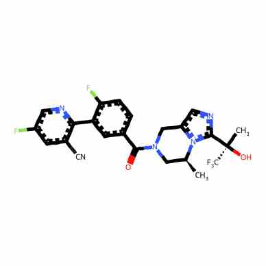 C[C@H]1CN(C(=O)c2ccc(F)c(-c3ncc(F)cc3C#N)c2)Cc2cnc([C@@](C)(O)C(F)(F)F)n21